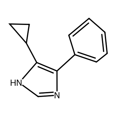 c1ccc(-c2nc[nH]c2C2CC2)cc1